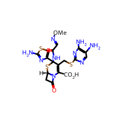 CON=CC(=O)NC1(c2csc(N)n2)S[C@H]2CC(=O)N2C(C(=O)O)=C1CSc1ncc(N)c(N)n1